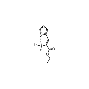 CCOC(=O)C(=Cc1cccs1)C(F)(F)F